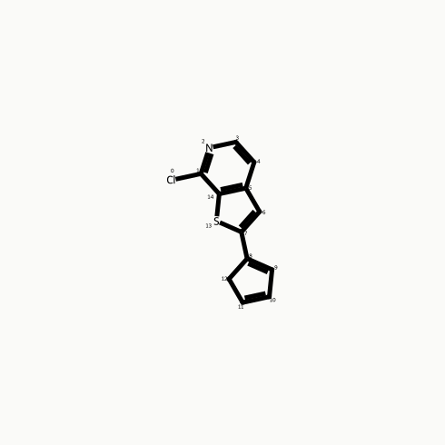 Clc1nccc2cc(C3=CC=CC3)sc12